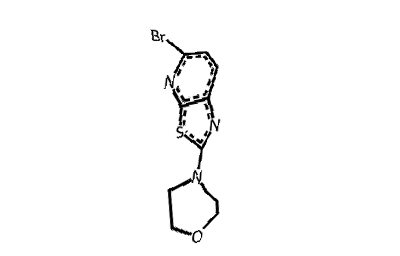 Brc1ccc2nc(N3CCOCC3)sc2n1